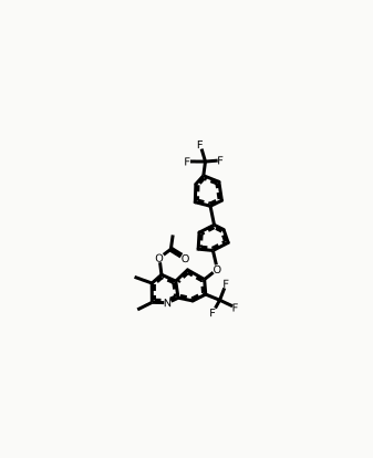 CC(=O)Oc1c(C)c(C)nc2cc(C(F)(F)F)c(Oc3ccc(-c4ccc(C(F)(F)F)cc4)cc3)cc12